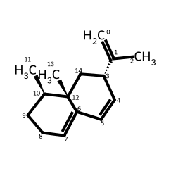 C=C(C)[C@@H]1C=CC2=CCC[C@@H](C)[C@]2(C)C1